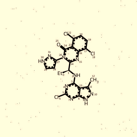 CC[C@H](Nc1nc(Cl)nc2[nH]nc(C)c12)c1nc2c(Cl)ccc(Cl)c2c(=O)n1-c1cc[nH]n1